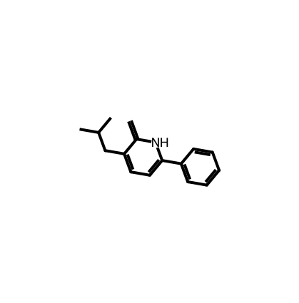 C=C1NC(c2ccccc2)=CC=C1CC(C)C